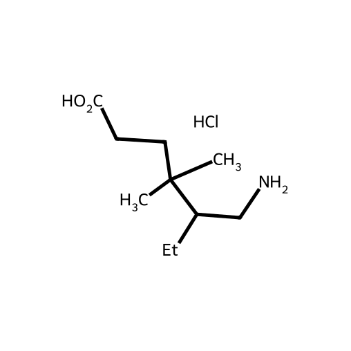 CCC(CN)C(C)(C)CCC(=O)O.Cl